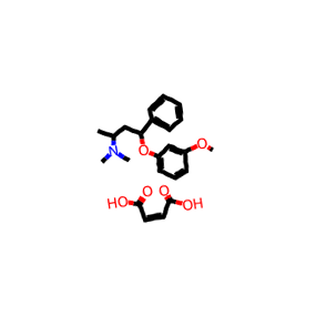 COc1cccc(OC(CC(C)N(C)C)c2ccccc2)c1.O=C(O)/C=C\C(=O)O